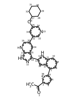 CC(=O)c1ccc(-c2cccc3[nH]c(-c4n[nH]c5ncc(-c6cncc(OC7CCCCC7)c6)cc45)cc23)s1